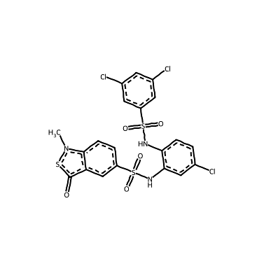 Cn1sc(=O)c2cc(S(=O)(=O)Nc3cc(Cl)ccc3NS(=O)(=O)c3cc(Cl)cc(Cl)c3)ccc21